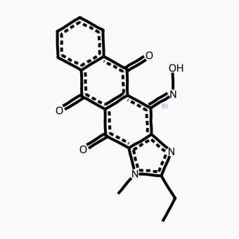 CCc1nc2/c(=N/O)c3c(=O)c4ccccc4c(=O)c=3c(=O)c2n1C